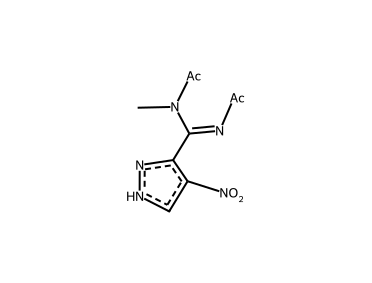 CC(=O)N=C(c1n[nH]cc1[N+](=O)[O-])N(C)C(C)=O